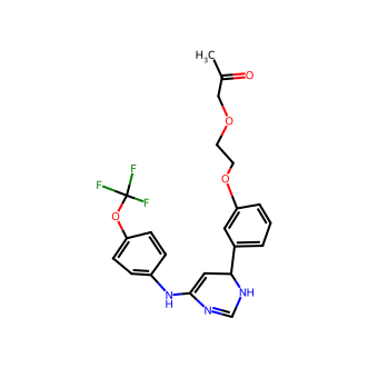 CC(=O)COCCOc1cccc(C2C=C(Nc3ccc(OC(F)(F)F)cc3)N=CN2)c1